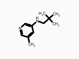 Cc1cncc(NCC(C)(C)C)c1